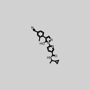 Cc1cc(C#N)ccc1-c1cnn(-c2ccc(C(=O)NC(C)C3CC3)cn2)c1O